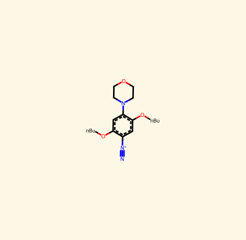 CCCCOc1cc(N2CCOCC2)c(OCCCC)cc1[N+]#N